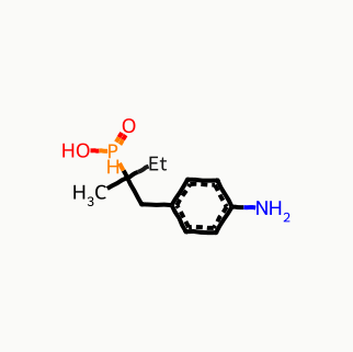 CCC(C)(Cc1ccc(N)cc1)[PH](=O)O